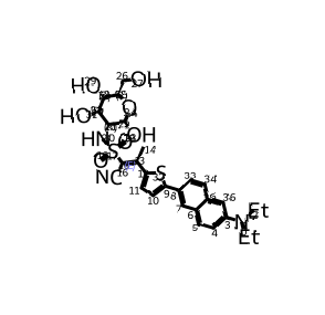 CCN(CC)c1ccc2cc(-c3ccc(/C(C)=C(\C#N)S(=O)(=O)N[C@H]4C(O)O[C@H](CO)[C@@H](O)[C@@H]4O)s3)ccc2c1